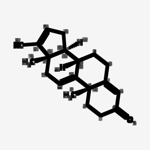 C[C@]12CCC(=O)C=C1CC[C@@H]1C2=CC[C@]2(C)C(C#N)=CC[C@@H]12